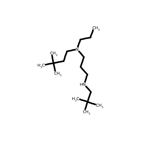 CCCN(CCCNCC(C)(C)C)CCC(C)(C)C